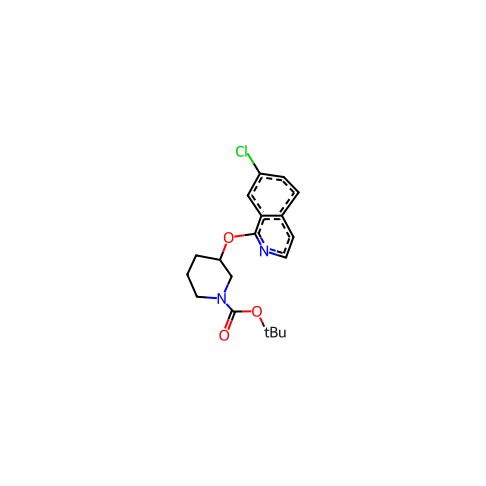 CC(C)(C)OC(=O)N1CCCC(Oc2nccc3ccc(Cl)cc23)C1